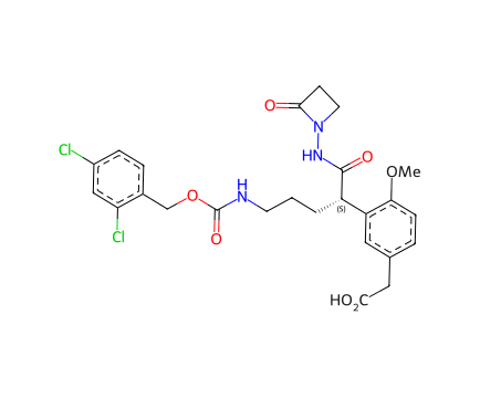 COc1ccc(CC(=O)O)cc1[C@H](CCCNC(=O)OCc1ccc(Cl)cc1Cl)C(=O)NN1CCC1=O